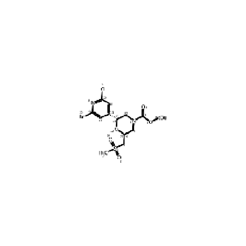 CC(C)(C)OC(=O)N1C[C@@H](CS(C)(=O)=O)O[C@H](c2cc(Cl)nc(Br)c2)C1